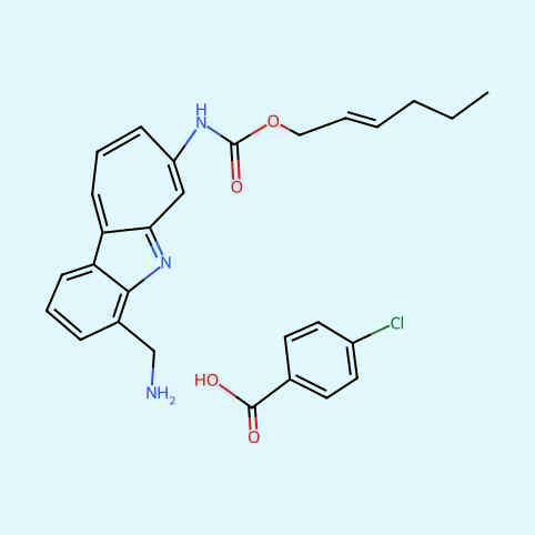 CCCC=CCOC(=O)Nc1cccc2c3cccc(CN)c3nc-2c1.O=C(O)c1ccc(Cl)cc1